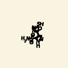 NS(=O)(=O)c1[nH]ncc1-c1nnc(S)o1